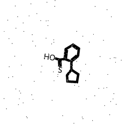 OC(=S)c1ccccc1C1CCCC1